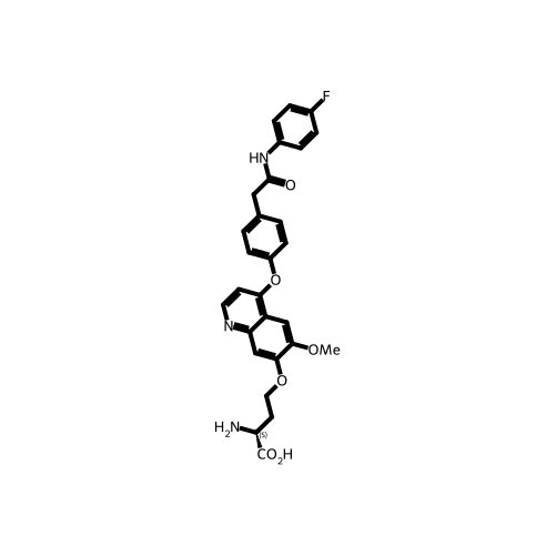 COc1cc2c(Oc3ccc(CC(=O)Nc4ccc(F)cc4)cc3)ccnc2cc1OCC[C@H](N)C(=O)O